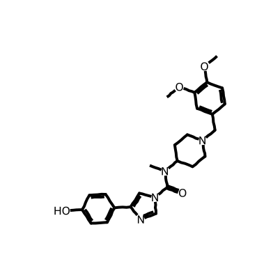 COc1ccc(CN2CCC(N(C)C(=O)n3cnc(-c4ccc(O)cc4)c3)CC2)cc1OC